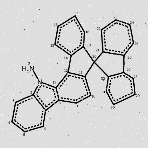 Nn1c2ccccc2c2ccc3c(c21)-c1ccccc1C31c2ccccc2-c2ccccc21